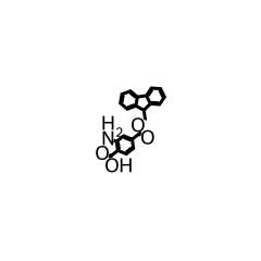 Nc1cc(C(=O)OCC2c3ccccc3-c3ccccc32)ccc1C(=O)O